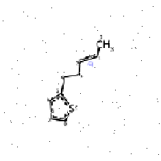 C/C=C/CCc1c[c]cs1